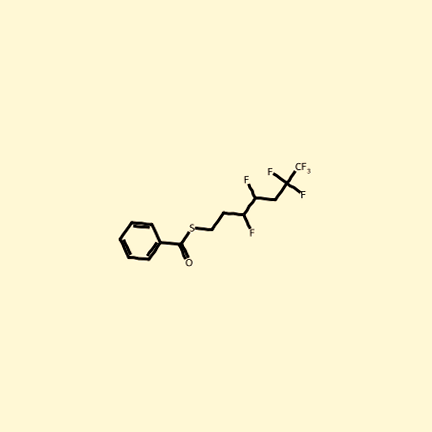 O=C(SCCC(F)C(F)CC(F)(F)C(F)(F)F)c1ccccc1